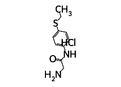 CCSc1ccc(NC(=O)CN)cc1.Cl